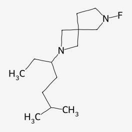 CCC(CCC(C)C)N1CC2(CCN(F)C2)C1